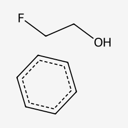 OCCF.c1ccccc1